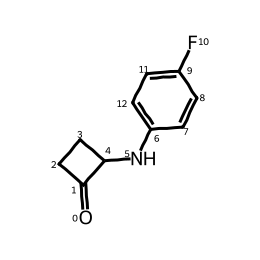 O=C1CCC1Nc1ccc(F)cc1